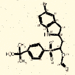 CC(C)(C)c1ccc(S(=O)(=O)C(CC2Cc3cc(Br)ccc3N2)OC=O)cc1